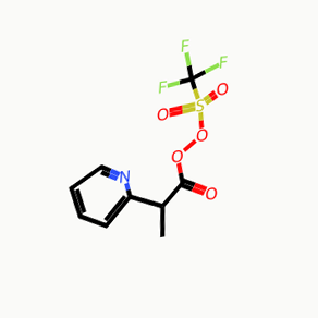 CC(C(=O)OOS(=O)(=O)C(F)(F)F)c1ccccn1